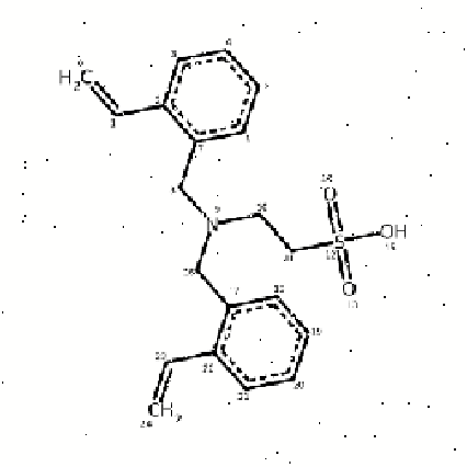 C=Cc1ccccc1CN(CCS(=O)(=O)O)Cc1ccccc1C=C